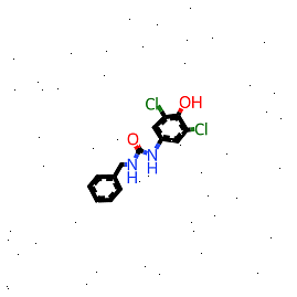 O=C(NCc1ccccc1)Nc1cc(Cl)c(O)c(Cl)c1